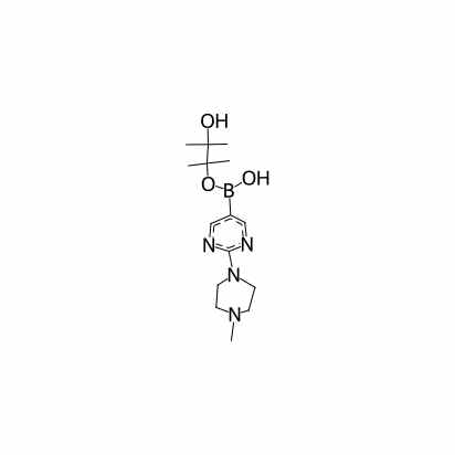 CN1CCN(c2ncc(B(O)OC(C)(C)C(C)(C)O)cn2)CC1